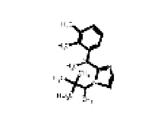 Cc1cccc([C@H](C)c2nccn2C(C)C(C)(C)C(=O)O)c1C